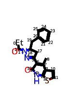 CCC(=O)N1N=C(c2c(C)c3ccsc3[nH]c2=O)CC1Cc1ccccc1